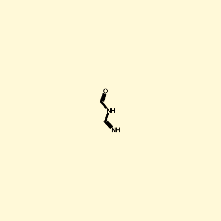 N=[C]NC=O